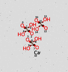 O=S(=O)(O)O.O=S(=O)(O)O.O=S(=O)(O)O.[Ca]